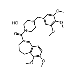 COc1cc(CN2CCN(C(=O)C3=Cc4ccc(OC)c(OC)c4CCC3)CC2)cc(OC)c1OC.Cl